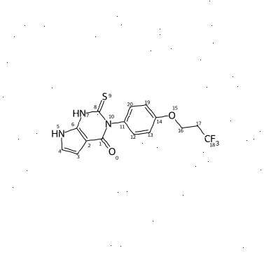 O=c1c2cc[nH]c2[nH]c(=S)n1-c1ccc(OCCC(F)(F)F)cc1